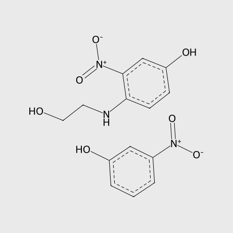 O=[N+]([O-])c1cc(O)ccc1NCCO.O=[N+]([O-])c1cccc(O)c1